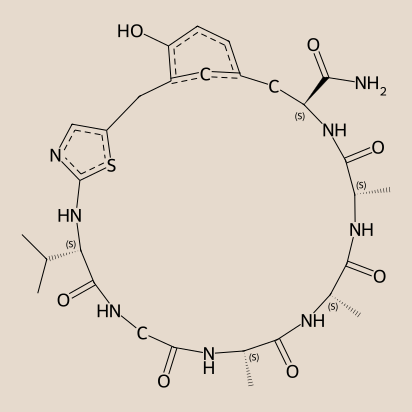 CC(C)[C@@H]1Nc2ncc(s2)Cc2cc(ccc2O)C[C@@H](C(N)=O)NC(=O)[C@H](C)NC(=O)[C@H](C)NC(=O)[C@H](C)NC(=O)CNC1=O